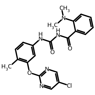 Cc1ccc(NC(=O)NC(=O)c2ccccc2N(C)C)cc1Oc1ncc(Cl)cn1